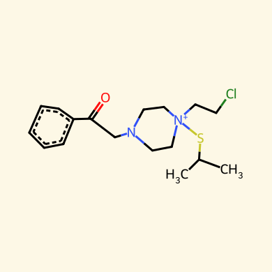 CC(C)S[N+]1(CCCl)CCN(CC(=O)c2ccccc2)CC1